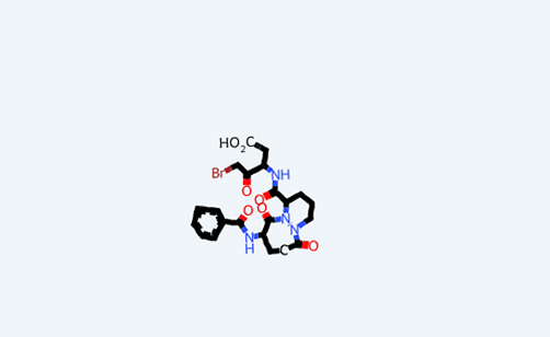 O=C(O)CC(NC(=O)C1CCCN2C(=O)CCC(NC(=O)c3ccccc3)C(=O)N12)C(=O)CBr